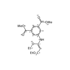 CCOC(=O)C=C(Nc1cc(C(=O)OC)cc(C(=O)OC)c1)OCC